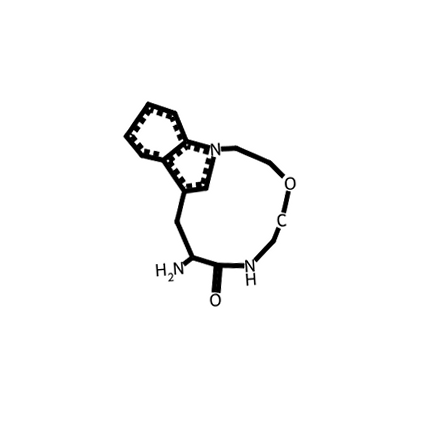 NC1Cc2cn(c3ccccc23)CCOCCNC1=O